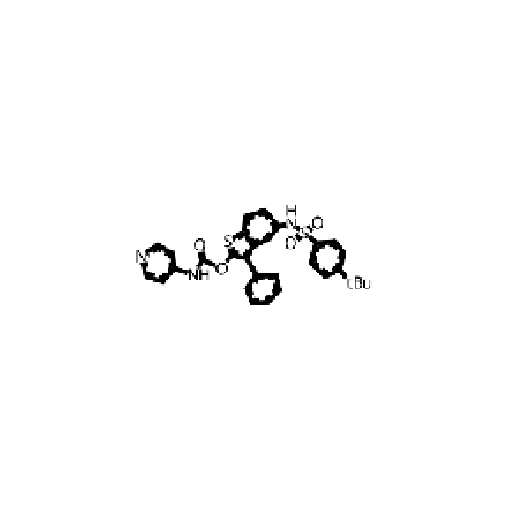 CC(C)(C)c1ccc(S(=O)(=O)Nc2ccc3sc(OC(=O)Nc4ccncc4)c(-c4ccccc4)c3c2)cc1